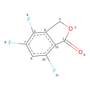 O=C1OCc2c(F)c(F)cc(F)c21